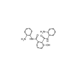 Nc1ccccc1NC(=O)c1cccc(O)c1C(=O)Nc1ccccc1N